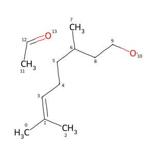 CC(C)=CCCC(C)CC[O].CC=O